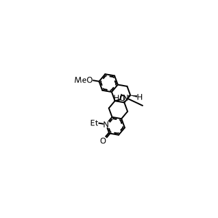 CCn1c2c(ccc1=O)C[C@@]1(O)[C@H]3Cc4ccc(OC)cc4C1(CCN3C)C2